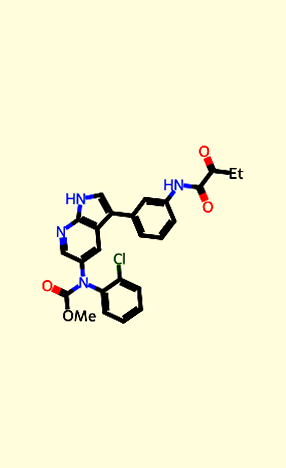 CCC(=O)C(=O)Nc1cccc(-c2c[nH]c3ncc(N(C(=O)OC)c4ccccc4Cl)cc23)c1